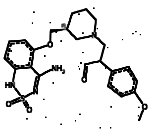 COc1ccc(C(C=O)CN2CCC[C@H](COc3cccc4c3C(N)=NS(=O)(=O)N4)C2)cc1